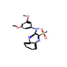 COc1cc(Nc2nc3ccccc3nc2S(C)(=O)=O)cc(OC)c1